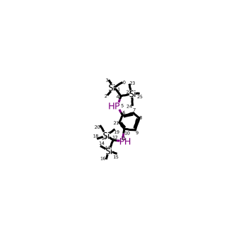 C[Si](C)(C)C(Pc1cccc(PC([Si](C)(C)C)[Si](C)(C)C)c1)[Si](C)(C)C